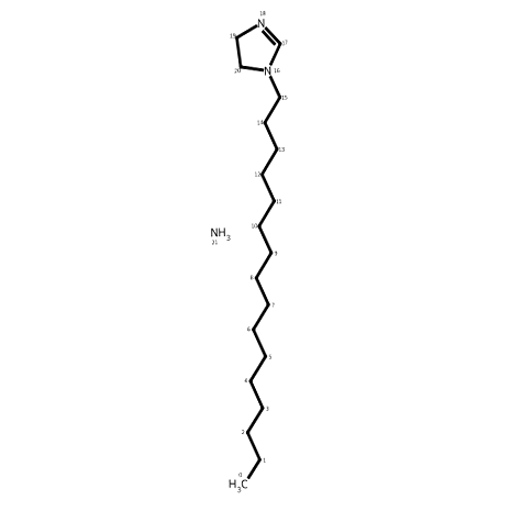 CCCCCCCCCCCCCCCCN1C=NCC1.N